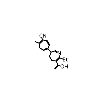 C=C(O)C1=C(CC)N=CC(C2=CCC(C)=C(C#N)C=C2)CC1